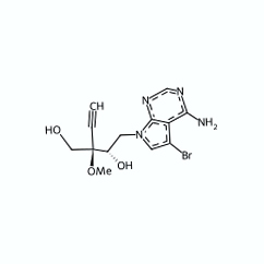 C#C[C@](CO)(OC)[C@@H](O)Cn1cc(Br)c2c(N)ncnc21